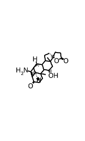 CC12C[C@@H](O)C3C(C1CC[C@@]21CCC(=O)O1)[C@H]1C[C@]2(C#N)C(=C1N)C(=O)CCC32C